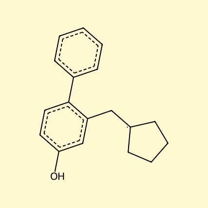 Oc1ccc(-c2ccccc2)c(C[C]2CCCC2)c1